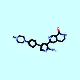 CN1CCN(c2ccc(-c3cnc(N)c(-c4cc5c(cn4)C(=O)NCC5)c3)cc2)CC1